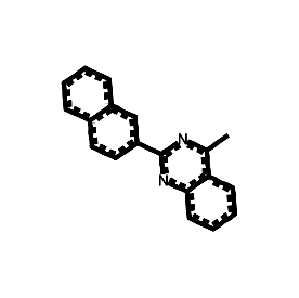 Cc1nc(-c2ccc3ccccc3c2)nc2ccccc12